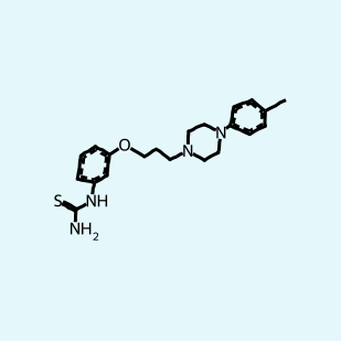 Cc1ccc(N2CCN(CCCOc3cccc(NC(N)=S)c3)CC2)cc1